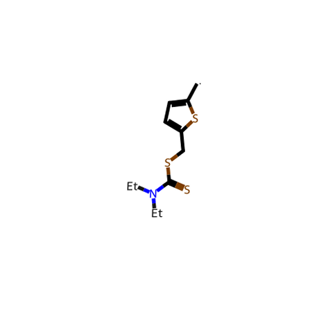 [CH2]c1ccc(CSC(=S)N(CC)CC)s1